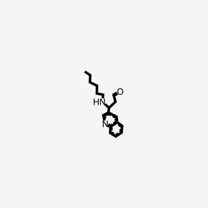 CCCCCCNC(CC=O)c1cnc2ccccc2c1